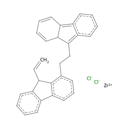 C=CC1c2ccccc2-c2cccc(CCC3=c4ccccc4=C4C=CC=CC43)c21.[Cl-].[Cl-].[Zr+2]